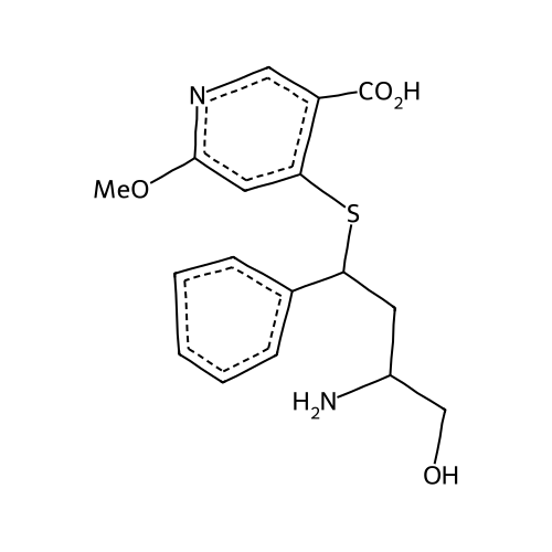 COc1cc(SC(CC(N)CO)c2ccccc2)c(C(=O)O)cn1